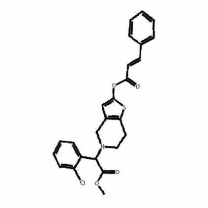 COC(=O)C(c1ccccc1Cl)N1CCc2sc(OC(=O)/C=C/c3ccccc3)cc2C1